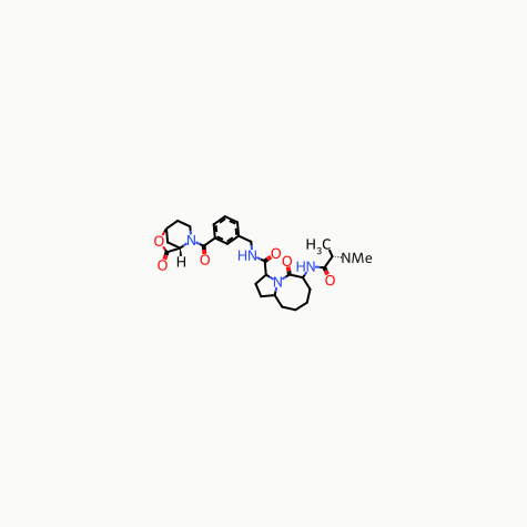 CN[C@@H](C)C(=O)NC1CCCCC2CCC(C(=O)NCc3cccc(C(=O)N4CCC5C[C@H]4C(=O)O5)c3)N2C1=O